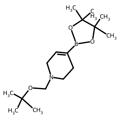 CC(C)(C)OCN1CC=C(B2OC(C)(C)C(C)(C)O2)CC1